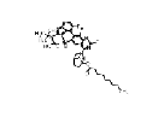 CCCCCCCCC(=O)OC12CCC(CN(c3nc(F)nc4c(F)c(-c5c(F)ccc6sc(N(C(=O)O)C(C)(C)C)c(C#N)c56)c(Cl)cc34)C1)N2